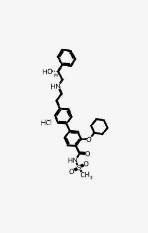 CS(=O)(=O)NC(=O)c1ccc(-c2ccc(CCNC[C@H](O)c3ccccc3)cc2)cc1OC1CCCCC1.Cl